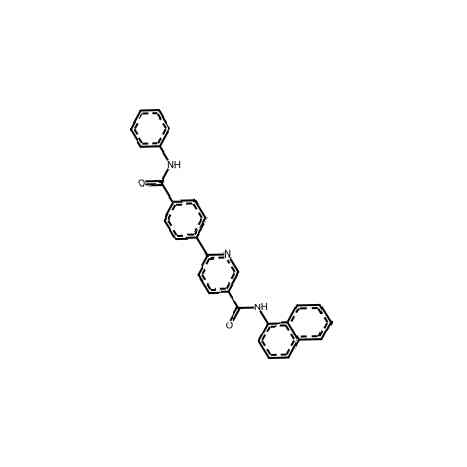 O=C(Nc1ccccc1)c1ccc(-c2ccc(C(=O)Nc3cccc4ccccc34)cn2)cc1